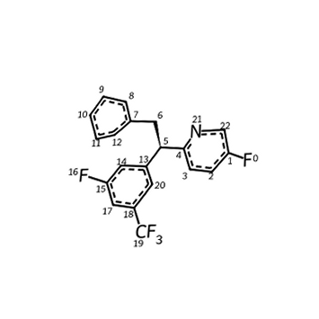 Fc1ccc([C@H](Cc2ccccc2)c2cc(F)cc(C(F)(F)F)c2)nc1